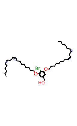 CCCCC/C=C\C/C=C\CCCCCCCCOc1cc(CO)cc(OCCCCCCCC/C=C\C/C=C\CCCCC)c1Br